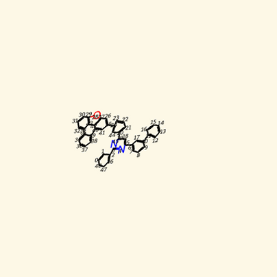 C1=CC(c2nc(-c3cccc(-c4ccccc4)c3)cc(-c3cccc(-c4cc5oc6cccc7c8ccccc8c(c4)c5c67)c3)n2)=CCC1